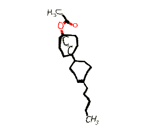 CCCCCC1CCC(C23CCC(OC(C)=O)(CC2)CC3)CC1